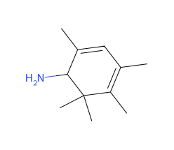 CC1=CC(C)=C(C)C(C)(C)C1N